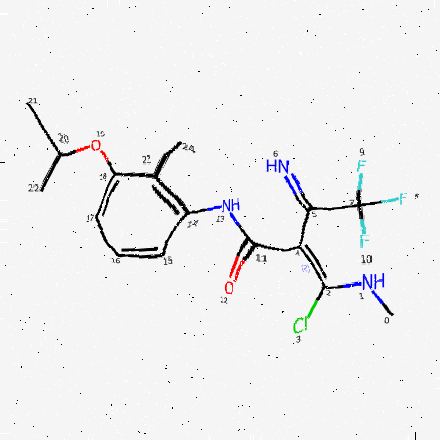 CN/C(Cl)=C(\C(=N)C(F)(F)F)C(=O)Nc1cccc(OC(C)C)c1C